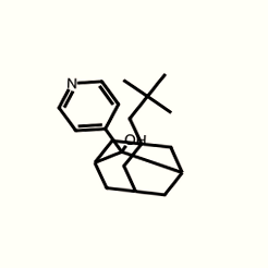 CC(C)(C)CC12CC3CC(C1)C(O)(c1ccncc1)C(C3)C2